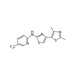 Cc1nc(C)c(-c2csc(Nc3ccc(C(F)(F)F)cn3)n2)s1